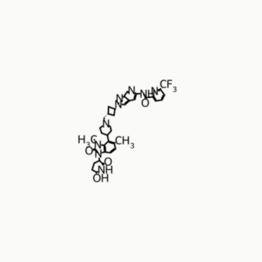 Cc1ccc2c(c1C1CCN(C[C@H]3C[C@H](n4cc5cc(NC(=O)c6cccc(C(F)(F)F)n6)ncc5n4)C3)CC1)n(C)c(=O)n2C1CCC(O)NC1=O